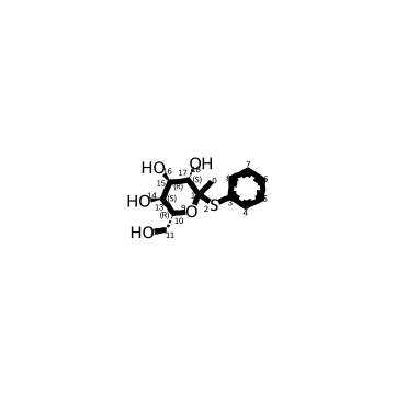 CC1(Sc2ccccc2)O[C@H](CO)[C@@H](O)[C@@H](O)[C@@H]1O